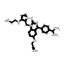 C#CCOc1ccc2c(c1)c(-c1ccc(C(C)C)cc1)nc(=S)n2Cc1sccc1OCCO